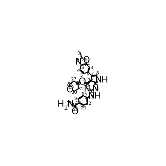 Cc1nc2ccc(-c3c[nH]c4nc(Nc5ccc(C(N)=O)cc5)nc(OC5CCOCC5)c34)cc2o1